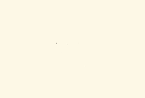 CN(C)c1ccc2nc(Nc3ccccc3)nc(Nc3cccc(Cl)c3)c2c1.Cl